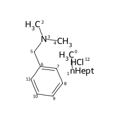 CCCCCCCC.CN(C)Cc1ccccc1.Cl